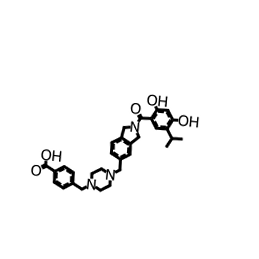 CC(C)c1cc(C(=O)N2Cc3ccc(CN4CCN(Cc5ccc(C(=O)O)cc5)CC4)cc3C2)c(O)cc1O